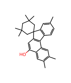 Cc1ccc2c(c1)C1(CC(C)(C)CC(C)(C)C1)c1cc(O)c3cc(C)c(C)cc3c1-2